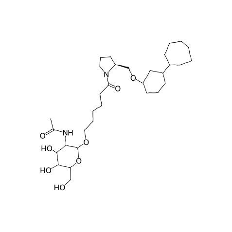 CC(=O)NC1C(OCCCCCC(=O)N2CCC[C@H]2COC2CCCC(C3CCCCCC3)C2)OC(CO)C(O)C1O